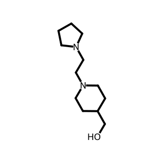 OCC1CCN(CCN2CCCC2)CC1